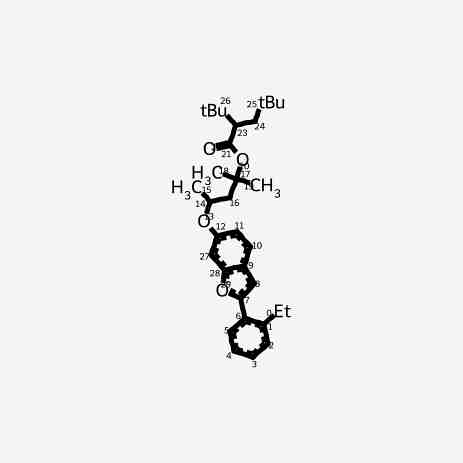 CCc1ccccc1-c1cc2ccc(OC(C)CC(C)(C)OC(=O)C(CC(C)(C)C)C(C)(C)C)cc2o1